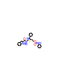 O=C(Nc1ccccc1)OCCc1sc(NC(=O)c2cc3ccccc3[nH]2)nc1-c1ccccc1